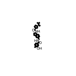 C=C(C(C)C)[C@H]1CC[C@H](C(=O)NC2CCc3cc(CNC(=O)c4ccc(C)c(O)c4)ccc32)C1